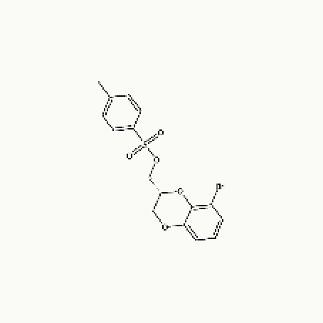 Cc1ccc(S(=O)(=O)OC[C@H]2COc3cccc(Br)c3O2)cc1